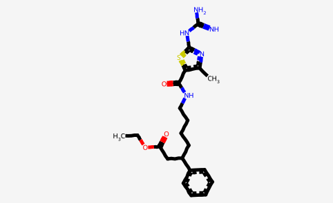 CCOC(=O)CC(CCCCNC(=O)c1sc(NC(=N)N)nc1C)c1ccccc1